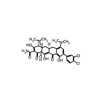 CN(C)c1cc(-c2ccc(Cl)c(Cl)c2)c(O)c2c1C[C@@H]1C[C@H]3[C@H](N(C)C)C(O)=C(C(N)=O)C(=O)[C@@]3(O)C(O)=C1C2=O